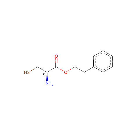 N[C@@H](CS)C(=O)OCCc1ccccc1